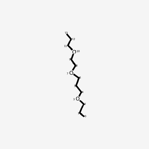 CCCOCCCOCCOCCC